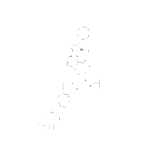 CC(C)(C)OC(=O)c1ccc(NCc2c(N)cnc3c2ccn3S(=O)(=O)c2ccccc2)cc1